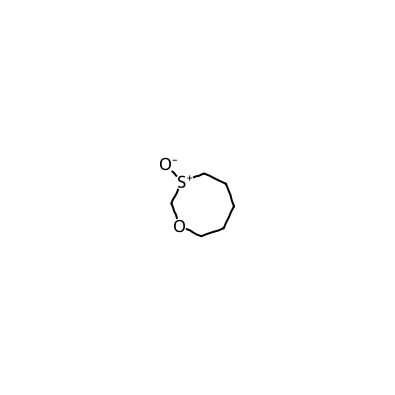 [O-][S+]1CCCCCOC1